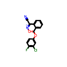 N#C/C(=N/O)c1ccccc1COc1ccc(F)c(Cl)c1